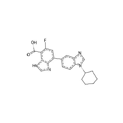 O=C(O)c1c(F)cc(-c2ccc3c(c2)ncn3C2CCCCC2)c2nc[nH]c12